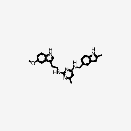 COc1ccc2[nH]cc(CCNc3nc(C)cc(NCc4ccc5[nH]c(C)cc5c4)n3)c2c1